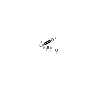 [BaH2].[O]=[Cu].[U]